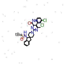 Cc1nc(N2CCC3(CC2)Cc2ccccc2[C@H]3N[S+]([O-])C(C)(C)C)nc(C(N)=O)c1-c1cccc(Cl)c1Cl